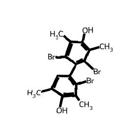 Cc1cc(-c2c(Br)c(C)c(O)c(C)c2Br)c(Br)c(C)c1O